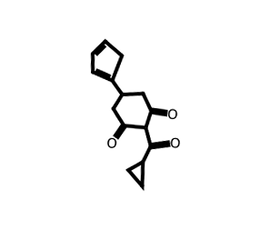 O=C1CC(C2=CC=CC2)CC(=O)C1C(=O)C1CC1